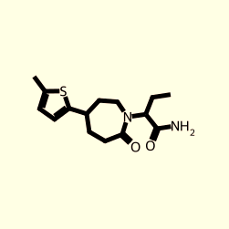 CCC(C(N)=O)N1CCC(c2ccc(C)s2)CCC1=O